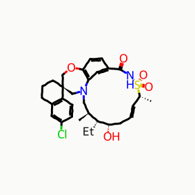 CC[C@@H]1[C@@H](C)CN2C[C@@]3(CCCc4cc(Cl)ccc43)COc3ccc(cc32)C(=O)NS(=O)(=O)[C@H](C)/C=C/C[C@@H]1O